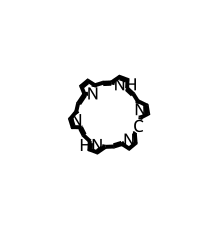 C1=C/C2=C/C3=NC(=C/c4ccc([nH]4)/C=C4/CCC(=N4)CC4C=CC(=N4)/C=c4/cc/c([nH]4)=C/C1=N2)/C=C3